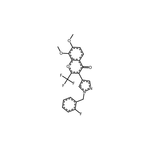 COc1ccc2c(=O)c(-c3cnn(Cc4ccccc4F)c3)c(C(F)(F)F)oc2c1OC